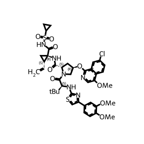 C=C[C@@H]1C[C@]1(NC(=O)[C@@H]1C[C@@H](Oc2ncc(OC)c3ccc(Cl)cc23)CN1C(=O)[C@@H](Nc1nc(-c2ccc(OC)c(OC)c2)cs1)C(C)(C)C)C(=O)NS(=O)(=O)C1CC1